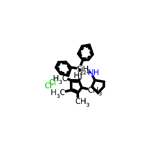 CC1=C(C)C(C)[C]([Hf+2]([NH]C2CCCC2)[SiH](c2ccccc2)c2ccccc2)=C1C.[Cl-].[Cl-]